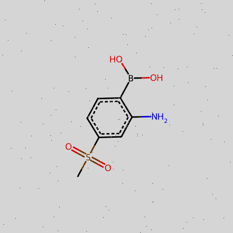 CS(=O)(=O)c1ccc(B(O)O)c(N)c1